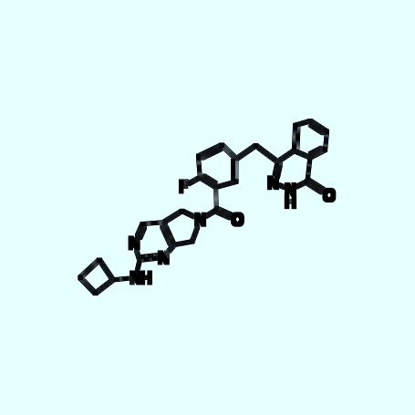 O=C(c1cc(Cc2n[nH]c(=O)c3ccccc23)ccc1F)N1Cc2cnc(NC3CCC3)nc2C1